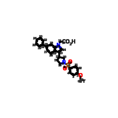 CC(C)Oc1ccc(S(=O)(=O)N2CCC(c3cn(CC(=O)O)c4cc(-c5ccccc5)ccc34)C2)cc1